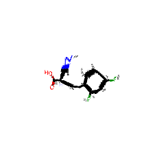 N#C/C(=C\c1ccc(F)cc1F)C(=O)O